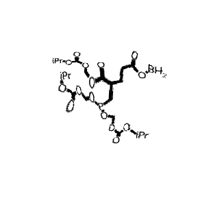 BOC(=O)CCC(CP(OCOC(=O)OC(C)C)OCOC(=O)OC(C)C)C(=O)OCOC(=O)OC(C)C